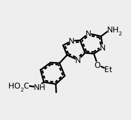 CCOc1nc(N)nc2ncc(-c3ccc(NC(=O)O)c(C)c3)nc12